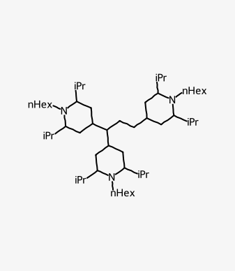 CCCCCCN1C(C(C)C)CC(CCC(C2CC(C(C)C)N(CCCCCC)C(C(C)C)C2)C2CC(C(C)C)N(CCCCCC)C(C(C)C)C2)CC1C(C)C